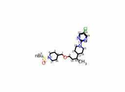 CCCC[S+]([O-])N1CCC(COCC[C@H](C)C2CCN(c3ncc(Cl)cn3)CC2)CC1